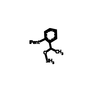 CCCC(C)c1ccccc1C(C)O[SiH3]